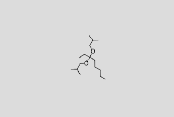 CCCCCC(CC)(OCC(C)C)OCC(C)C